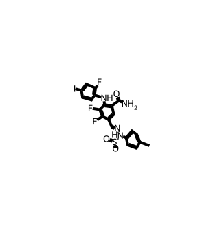 Cc1ccc(N(/N=C/c2cc(C(N)=O)c(Nc3ccc(I)cc3F)c(F)c2F)[SH](=O)=O)cc1